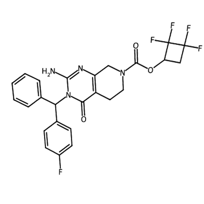 Nc1nc2c(c(=O)n1C(c1ccccc1)c1ccc(F)cc1)CCN(C(=O)OC1CC(F)(F)C1(F)F)C2